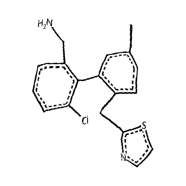 Cc1ccc(Cc2nccs2)c(-c2c(Cl)cccc2CN)c1